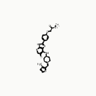 CNC(=O)COc1ccc(-c2nc3c(NC4CCN(Cc5sccc5C)CC4)c(Cl)cnc3[nH]2)cc1